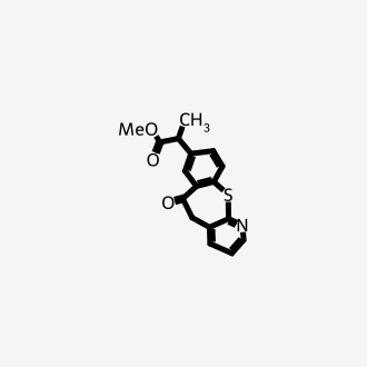 COC(=O)C(C)c1ccc2c(c1)C(=O)Cc1cccnc1S2